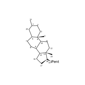 [CH2]C1CC[C@@]2(C)C(CCC3C2CC[C@@]2(C)C3CC[C@@H]2[C@H](C)CCC)C1